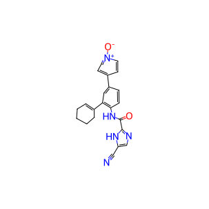 N#Cc1cnc(C(=O)Nc2ccc(-c3cc[n+]([O-])cc3)cc2C2=CCCCC2)[nH]1